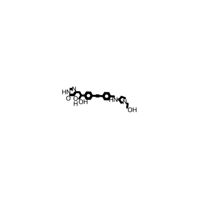 O=c1[nH]cnc(CC(CO)c2ccc(C#Cc3ccc(CN[C@@H]4CCN(CCO)C4)cc3)cc2)c1O